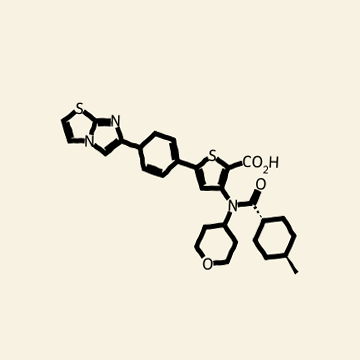 C[C@H]1CC[C@H](C(=O)N(c2cc(C3=CCC(c4cn5ccsc5n4)C=C3)sc2C(=O)O)C2CCOCC2)CC1